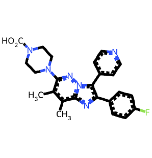 Cc1c(N2CCN(C(=O)O)CC2)nn2c(-c3ccncc3)c(-c3ccc(F)cc3)nc2c1C